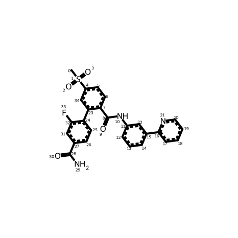 CS(=O)(=O)c1ccc(C(=O)Nc2cccc(-c3ccccn3)c2)c(-c2ccc(C(N)=O)cc2F)c1